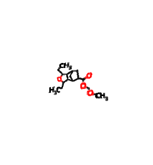 CCC1OC(CC)C2C3CC(CC3C(=O)OCOC)C12